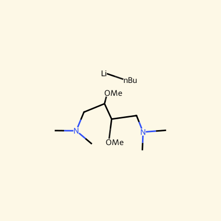 COC(CN(C)C)C(CN(C)C)OC.[Li][CH2]CCC